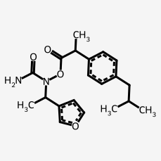 CC(C)Cc1ccc(C(C)C(=O)ON(C(N)=O)C(C)c2ccoc2)cc1